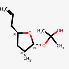 C=CC[C@@H]1C[C@@H](C)[C@@H](OC(C)(C)O)O1